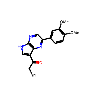 COc1ccc(-c2cnc3[nH]cc(C(=O)CC(C)C)c3n2)cc1OC